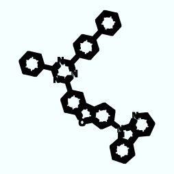 c1ccc(-c2ccc(-c3nc(-c4ccccc4)nc(-c4ccc5oc6cc(-n7c8ccccc8c8cccnc87)ccc6c5c4)n3)cc2)cc1